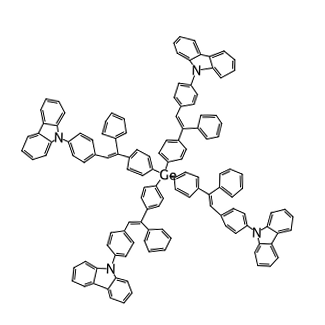 C(=C(/c1ccccc1)c1cc[c]([Ge]([c]2ccc(/C(=C/c3ccc(-n4c5ccccc5c5ccccc54)cc3)c3ccccc3)cc2)([c]2ccc(/C(=C/c3ccc(-n4c5ccccc5c5ccccc54)cc3)c3ccccc3)cc2)[c]2ccc(/C(=C/c3ccc(-n4c5ccccc5c5ccccc54)cc3)c3ccccc3)cc2)cc1)/c1ccc(-n2c3ccccc3c3ccccc32)cc1